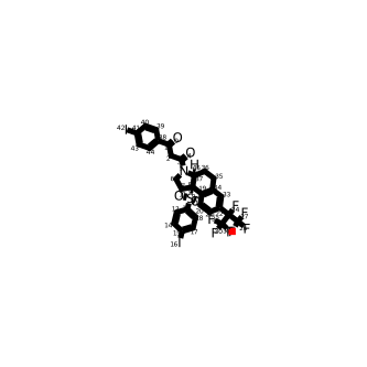 O=C(CC(=O)N1CC[C@@]2(S(=O)(=O)c3ccc(I)cc3)c3ccc(C(F)(C(F)(F)F)C(F)(F)F)cc3CC[C@@H]12)c1ccc(I)cc1